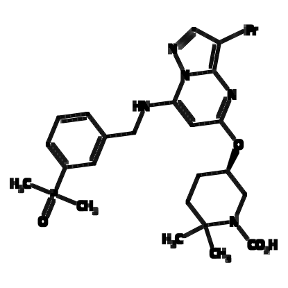 CC(C)c1cnn2c(NCc3cccc(P(C)(C)=O)c3)cc(O[C@@H]3CCC(C)(C)N(C(=O)O)C3)nc12